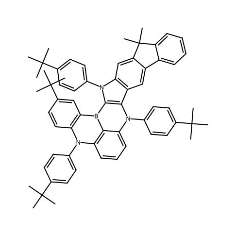 CC(C)(C)c1ccc(N2c3ccc(C(C)(C)C)cc3B3c4c2cccc4N(c2ccc(C(C)(C)C)cc2)c2c3n(-c3ccc(C(C)(C)C)cc3)c3cc4c(cc23)-c2ccccc2C4(C)C)cc1